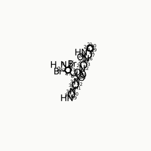 Nc1c(Br)cc(C[C@@H](OC(=O)N2CCC(N3CCc4ccccc4NC3=O)CC2)C(=O)N2CCC(N3CCNCC3)CC2)cc1Br